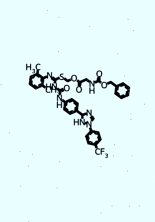 Cc1cccc(C)c1/N=C(\NC(=O)Nc1ccc(C2N=CN(c3ccc(C(F)(F)F)cc3)N2)cc1)SCOC(=O)CNC(=O)OCc1ccccc1